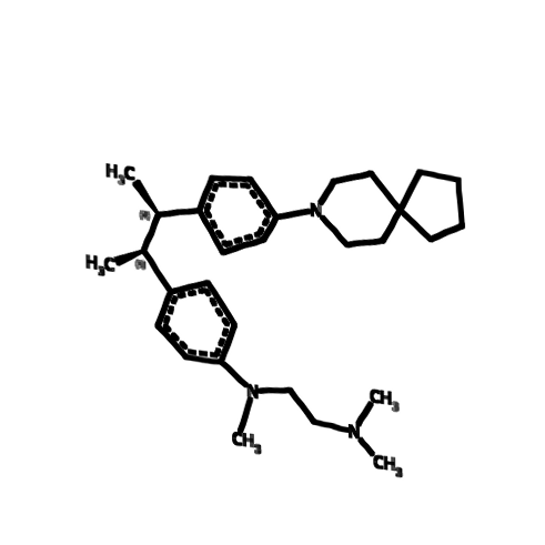 C[C@H](c1ccc(N(C)CCN(C)C)cc1)[C@@H](C)c1ccc(N2CCC3(CCCC3)CC2)cc1